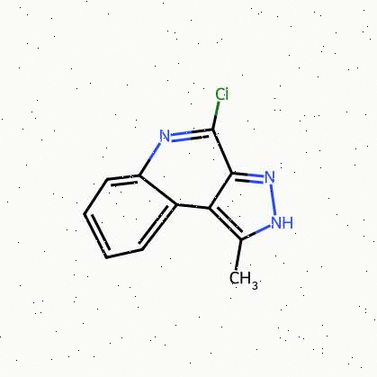 Cc1[nH]nc2c(Cl)nc3ccccc3c12